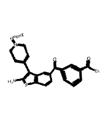 CCCCCN1CCC(c2c(N)sc3ccc(C(=O)c4cccc(C(=O)CC)c4)cc23)CC1